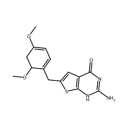 COC1=CC=C(Cc2cc3c(=O)nc(N)[nH]c3s2)C(OC)C1